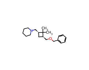 CC1(C)[C@@H](COCc2ccccc2)C[C@H]1CN1CCCCC1